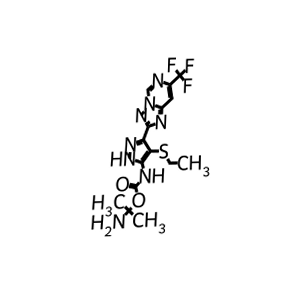 CCSc1c(-c2nc3cc(C(F)(F)F)ncn3n2)n[nH]c1NC(=O)OC(C)(C)N